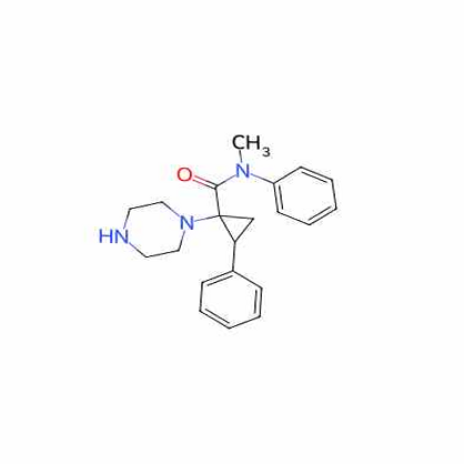 CN(C(=O)C1(N2CCNCC2)CC1c1ccccc1)c1ccccc1